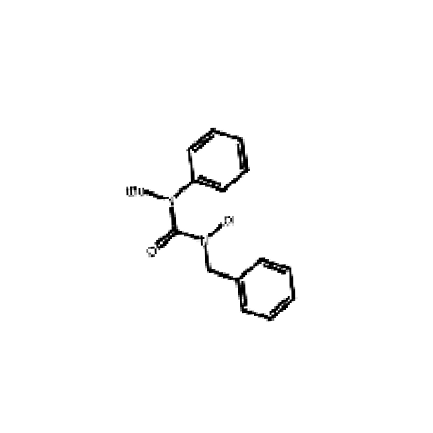 CC(C)(C)N(C(=O)N(O)Cc1ccccc1)c1ccccc1